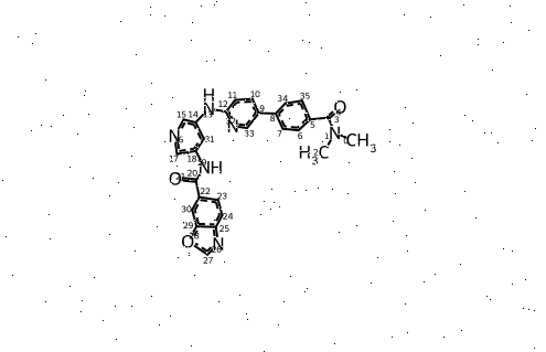 CN(C)C(=O)c1ccc(-c2ccc(Nc3cncc(NC(=O)c4ccc5ncoc5c4)c3)nc2)cc1